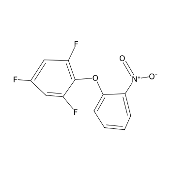 O=[N+]([O-])c1ccccc1Oc1c(F)cc(F)cc1F